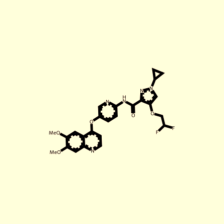 COc1cc2nccc(Oc3ccc(NC(=O)c4nn(C5CC5)cc4OCC(F)F)nc3)c2cc1OC